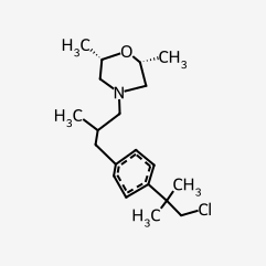 CC(Cc1ccc(C(C)(C)CCl)cc1)CN1C[C@@H](C)O[C@@H](C)C1